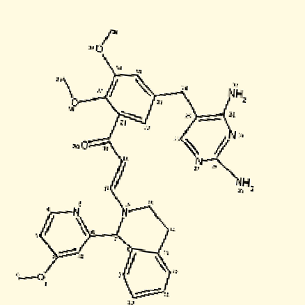 COc1ccnc(C2c3ccccc3CCN2/C=C/C(=O)c2cc(Cc3cnc(N)nc3N)cc(OC)c2OC)c1